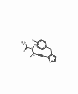 C[C@H](C#Cc1sccc1Cc1ccc(F)cc1)N(O)C(N)=O